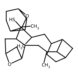 CC(S)C1CC2CC(O2)C1CC(C)C1C2CCC(CC(C)C3CC4CCC3CO4)C1C2